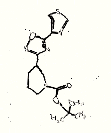 CC(C)(C)OC(=O)N1CCCC(c2noc(-c3cscn3)n2)C1